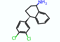 NC1CC[C@H](c2ccc(Cl)c(Cl)c2)c2ccccc21